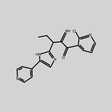 CCC(C(=N)C(=O)c1cccnc1Cl)c1ncc(-c2ccncc2)[nH]1